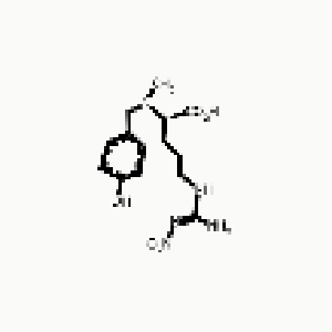 CN(Cc1ccc(O)cc1)[C@H](CCCNC(N)=N[N+](=O)[O-])C(=O)O